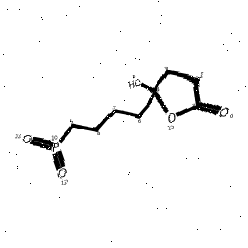 O=C1CCC(O)(CCCCP(=O)=O)O1